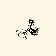 CC(C)(C)OC(=O)Oc1cc2cccnc2c(CBr)c1C(=O)Oc1ccccc1